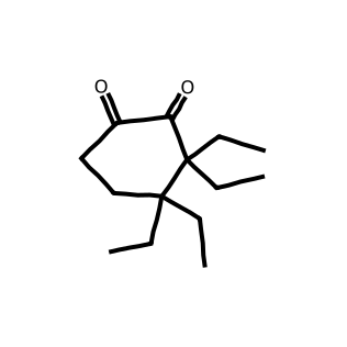 CCC1(CC)CCC(=O)C(=O)C1(CC)CC